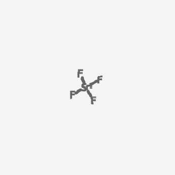 [F][Sr]([F])([F])[F]